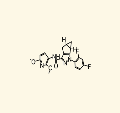 COc1ccc(NC(=O)c2nn(-c3ccc(F)cc3F)c3c2C[C@H]2C[C@@H]32)c(OC)n1